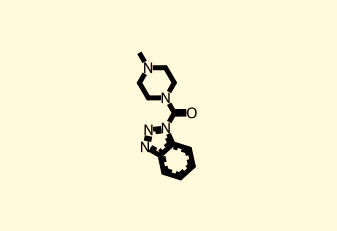 CN1CCN(C(=O)n2nnc3ccccc32)CC1